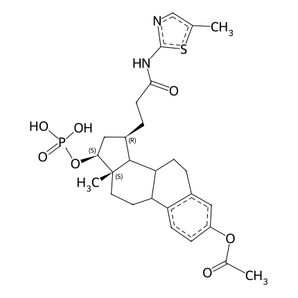 CC(=O)Oc1ccc2c(c1)CCC1C2CC[C@@]2(C)C1[C@H](CCC(=O)Nc1ncc(C)s1)C[C@@H]2OP(=O)(O)O